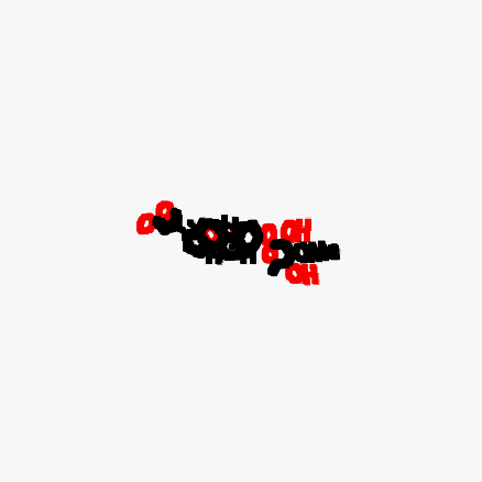 COC1C(O)C(C)OC(O[C@H]2CC[C@@]3(C)[C@H](CC[C@@H]4[C@@H]3CC[C@]3(C)[C@@H](C5=CC(=O)OC5)CC[C@]43O)C2)C1O